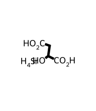 O=C(O)CC(O)C(=O)O.[SiH4]